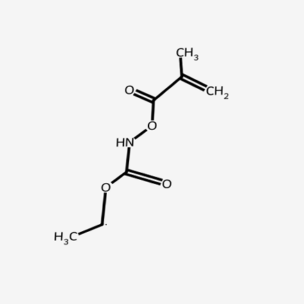 C=C(C)C(=O)ONC(=O)O[CH]C